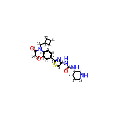 O=C(Nc1csc(-c2ccc3c(c2)OCC(=O)N3CC2CCC2)n1)N[C@H]1CCCNC1